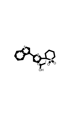 O=C(O)C[C@]1(c2ccc(-c3csc4ccccc34)s2)CCCCS1(=O)=O